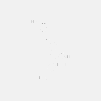 CCc1ccc(Oc2c(-c3ccc(OCc4ccc(C)cc4)cc3O)n[nH]c2C(F)(F)F)cc1